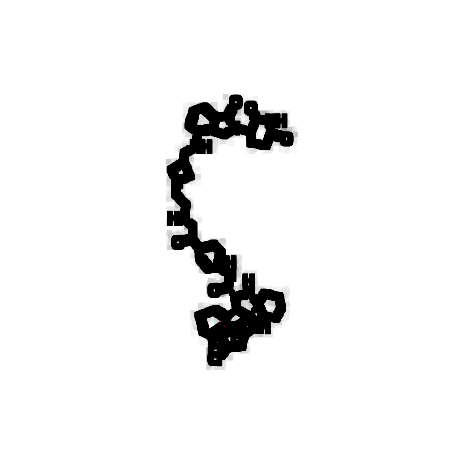 O=C1CCC(N2Cc3c(NCC4CN(CCNCC(=O)c5ccc(NC(=O)[C@@H]6NC7(CCCCC7)[C@@]7(C(=O)Nc8cc(Cl)ccc87)[C@H]6c6cccc(Cl)c6F)cc5)C4)cccc3C2=O)C(=O)N1